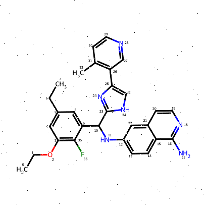 CCOc1cc(CC)cc(C(Nc2ccc3c(N)nccc3c2)c2nc(-c3cnccc3C)c[nH]2)c1F